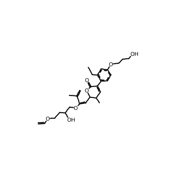 C=COCCC(O)CO/C(=C/C1OC(=O)C(c2ccc(OCCCO)cc2CC)=CC1C)C(=C)C